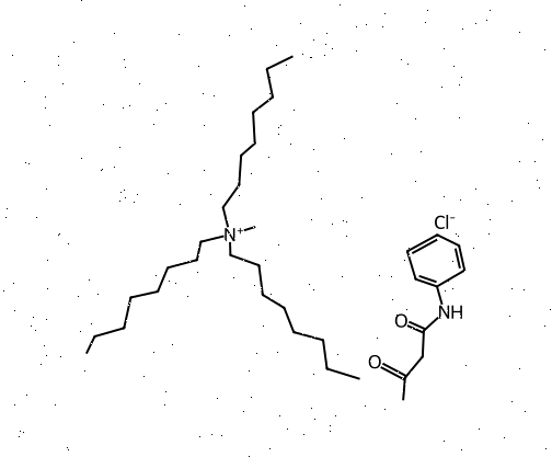 CC(=O)CC(=O)Nc1ccccc1.CCCCCCCC[N+](C)(CCCCCCCC)CCCCCCCC.[Cl-]